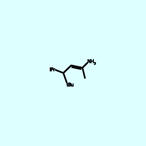 C/C(N)=C\C(C(C)C)C(C)(C)C